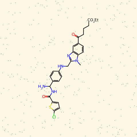 CCOC(=O)CCCC(=O)c1ccc2c(c1)nc(CNc1ccc(C(N)NC(=O)c3ccc(Cl)s3)cc1)n2C